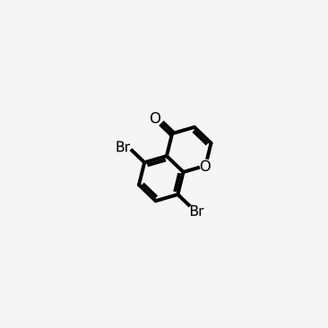 O=c1ccoc2c(Br)ccc(Br)c12